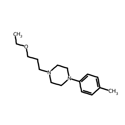 CCOCCCN1CCN(c2ccc(C)cc2)CC1